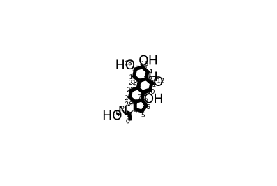 CC(=NO)[C@H]1CC[C@@]2(O)C3=CC(=O)[C@@H]4C[C@@H](O)[C@@H](O)C[C@]4(C)C3CC[C@]12C